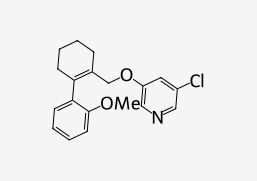 COc1ccccc1C1=C(COc2cncc(Cl)c2)CCCC1